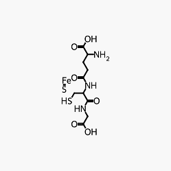 NC(CCC(=O)NC(CS)C(=O)NCC(=O)O)C(=O)O.[S]=[Fe]